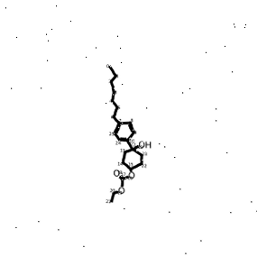 CCCCCCCc1ccc(C2(O)CCC(OC(=O)OCC)CC2)cc1